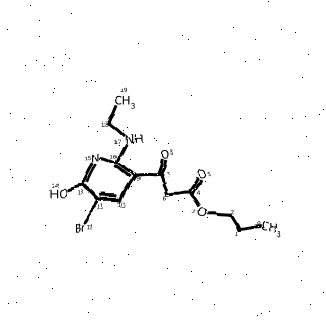 CCCOC(=O)CC(=O)c1cc(Br)c(O)nc1NCC